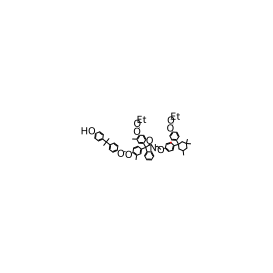 CCOCOc1ccc(C2(c3ccc(OCN4C(=O)C(c5ccc(OCOCC)c(C)c5)(c5ccc(OCOc6ccc(C(C)(C)c7ccc(O)cc7)cc6)c(C)c5)c5ccccc54)cc3)CC(C)CC(C)(C)C2)cc1